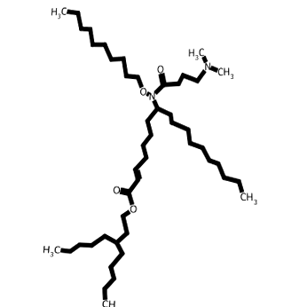 CCCCCCCCCCON(C(=O)CCCN(C)C)C(CCCCC=CC(=O)OCCC(CCCCC)CCCCC)CCCCCCCCCC